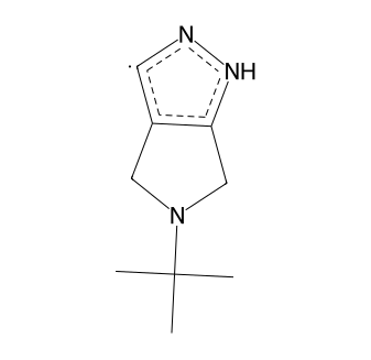 CC(C)(C)N1Cc2[c]n[nH]c2C1